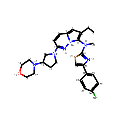 CCc1cc2ccc(N3CCC(N4CCOCC4)C3)nn2c1N(C)c1nc(-c2ccc(F)cc2)cs1